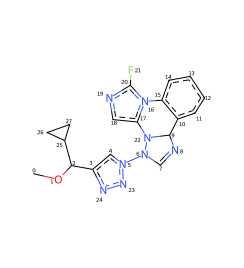 COC(c1cn(N2C=NC3c4ccccc4-n4c(cnc4F)N32)nn1)C1CC1